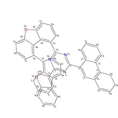 C1=CCCC(c2nc(-c3cc4c(c5ccccc35)CCC=C4)nc(-c3cccc4oc5cccc(-c6cccc7c6oc6ccccc67)c5c34)n2)=C1